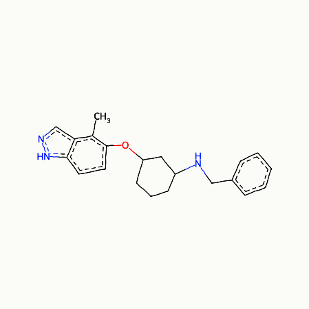 Cc1c(OC2CCCC(NCc3ccccc3)C2)ccc2[nH]ncc12